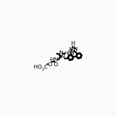 CCCCc1nc(C)c(CNC(=O)COCC(=O)O)n1Cc1ccc(-c2ccccc2-c2nn[nH]n2)cc1